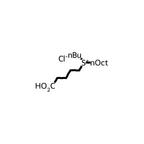 CCCCCCCC[S+](CCCC)CCCCC(=O)O.[Cl-]